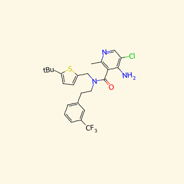 Cc1ncc(Cl)c(N)c1C(=O)N(CCc1cccc(C(F)(F)F)c1)Cc1ccc(C(C)(C)C)s1